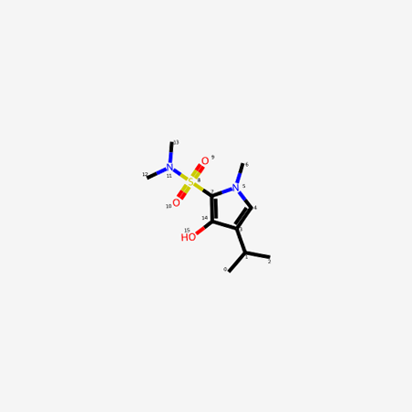 CC(C)c1cn(C)c(S(=O)(=O)N(C)C)c1O